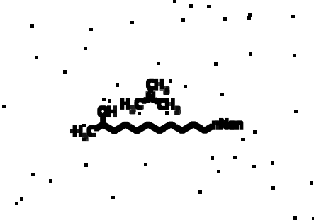 CN(C)C.[CH2]C(O)CCCCCCCCCCCCCCCCCC